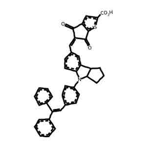 O=C(O)c1cc2c(s1)C(=O)C(=Cc1ccc3c(c1)C1CCCC1N3c1ccc(C=C(c3ccccc3)c3ccccc3)cc1)C2=O